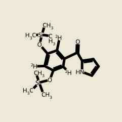 [2H]c1c(O[Si](C)(C)C)c([2H])c(C(=O)c2ccc[nH]2)c([2H])c1O[Si](C)(C)C